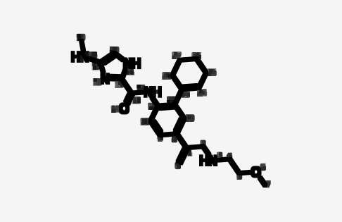 C=C(CNCCOC)c1ccc(NC(=O)c2nc(NC)c[nH]2)c(C2=CCCCC2)c1